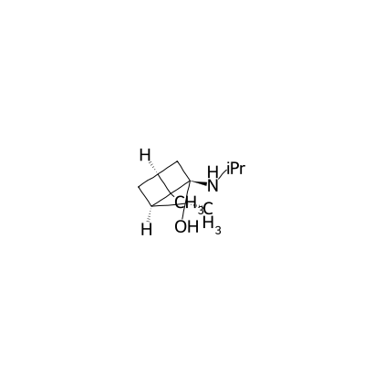 CC(C)N[C@]12C[C@@H]3C[C@@H](C31C)[C@]2(C)O